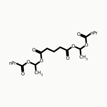 CCCC(=O)OC(C)OC(=O)CCCC(=O)OC(C)OC(=O)CCC